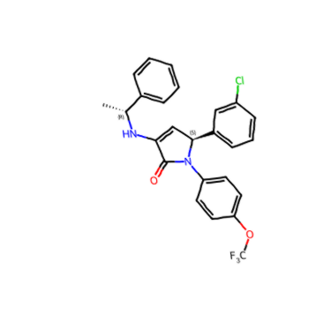 C[C@@H](NC1=C[C@@H](c2cccc(Cl)c2)N(c2ccc(OC(F)(F)F)cc2)C1=O)c1ccccc1